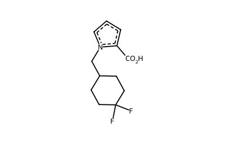 O=C(O)c1cccn1CC1CCC(F)(F)CC1